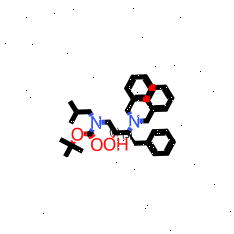 CC(C)CN(C[C@@H](O)[C@H](Cc1ccccc1)N(Cc1ccccc1)Cc1ccccc1)C(=O)OC(C)(C)C